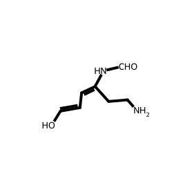 NCC/C(=C\C=C\O)NC=O